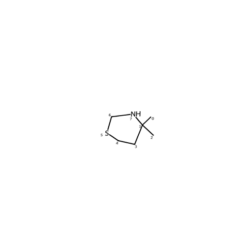 CC1(C)CCSCN1